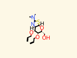 C=CCO[C@@H]1[C@H]2N=C(N(C)C)S[C@H]2O[C@H](CO)[C@@H]1OCC=C